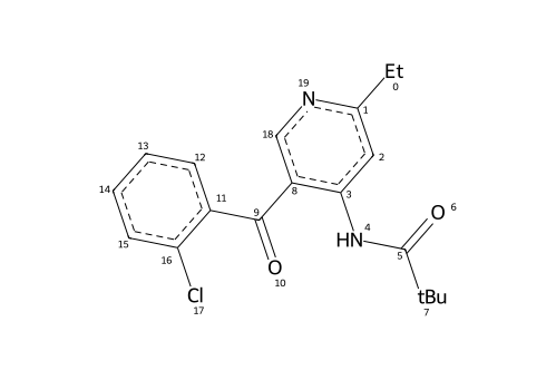 CCc1cc(NC(=O)C(C)(C)C)c(C(=O)c2ccccc2Cl)cn1